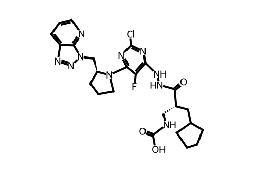 O=C(O)NC[C@@H](CC1CCCC1)C(=O)NNc1nc(Cl)nc(N2CCC[C@H]2Cn2nnc3cccnc32)c1F